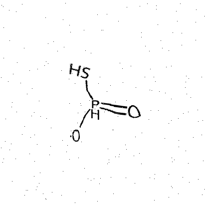 [O][PH](=O)S